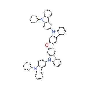 c1ccc(-n2c3ccccc3c3cc(-n4c5ccccc5c5cc6c(cc54)oc4cc5c(cc46)c4ccccc4n5-c4ccc5c(c4)c4ccccc4n5-c4ccccc4)ccc32)cc1